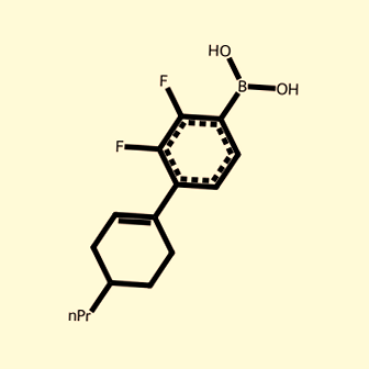 CCCC1CC=C(c2ccc(B(O)O)c(F)c2F)CC1